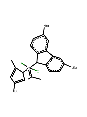 CC1=CC(C(C)(C)C)=C[CH]1[Zr]([Cl])([Cl])(=[C](C)C)[CH]1c2ccc(C(C)(C)C)cc2-c2cc(C(C)(C)C)ccc21